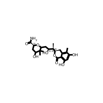 Cc1c(O)cc(O)c2c1C[C@H]([C@H](C)[C@@H](O)CC1O[C@H](C(N)=O)CC(O)C1(C)C)OC2=O